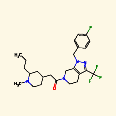 CCCC1CC(CC(=O)N2CCc3c(C(F)(F)F)nn(Cc4ccc(F)cc4)c3C2)CCN1C